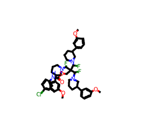 COc1cccc(C2CCCN(C(F)C(COC(=O)Nc3ccc(Cl)cc3)(C(F)N3CCCC(c4cccc(OC)c4)C3)C(F)N3CCCC(c4cccc(OC)c4)C3)C2)c1